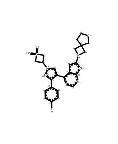 O=S1(=O)CC(n2cc(-c3ncnc4oc(N5CC6(CCOC6)C5)cc34)c(-c3ccc(F)cc3)n2)C1